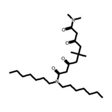 CCCCCCCN(CCCCCCC)C(=O)CC(=O)CC(C)(C)CC(=O)CC(=O)N(C)C